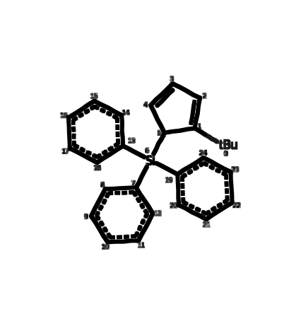 CC(C)(C)C1=CC=C[C]1[Si](c1ccccc1)(c1ccccc1)c1ccccc1